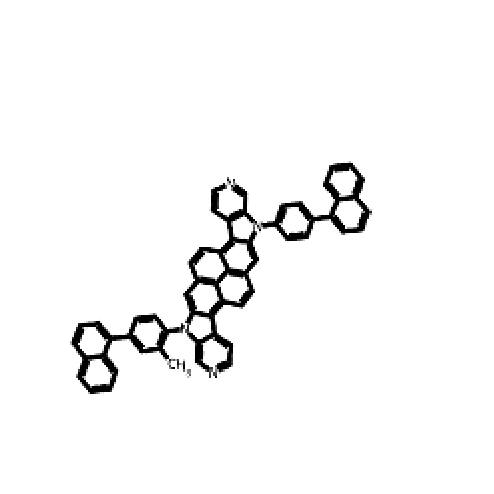 Cc1cc(-c2cccc3ccccc23)ccc1-n1c2cnccc2c2c3ccc4cc5c(c6ccc(cc21)c3c46)c1ccncc1n5-c1ccc(-c2cccc3ccccc23)cc1